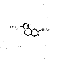 CCOC(=O)c1ccc2n1CCc1cnc(NC(C)=O)nc1-2